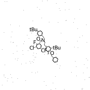 CC(C)(C)c1ccc(CN(CCc2ccc(OCc3ccccc3)c(C(C)(C)C)c2)C(=O)c2cc(C(F)(F)F)cc(Cl)c2F)cc1